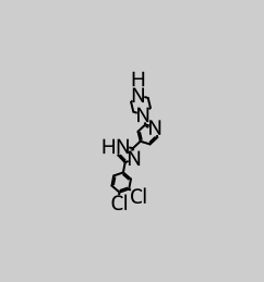 Clc1ccc(-c2c[nH]c(-c3ccnc(N4CCNCC4)c3)n2)cc1Cl